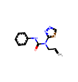 C=CCN(C(=O)Nc1ccccc1)c1nncs1